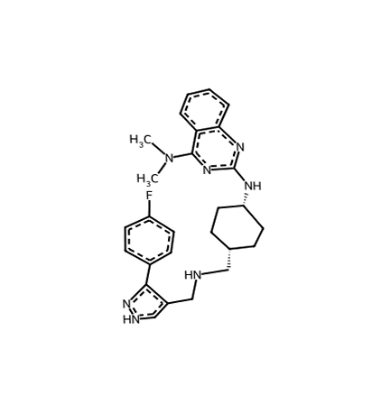 CN(C)c1nc(N[C@H]2CC[C@@H](CNCc3c[nH]nc3-c3ccc(F)cc3)CC2)nc2ccccc12